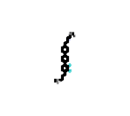 C/C=C/CCC1CCC(C2CC=C(c3ccc(CCCC)c(F)c3F)CC2)CC1